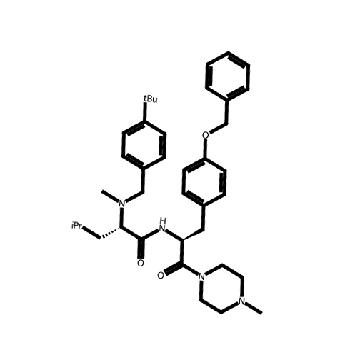 CC(C)C[C@@H](C(=O)N[C@@H](Cc1ccc(OCc2ccccc2)cc1)C(=O)N1CCN(C)CC1)N(C)Cc1ccc(C(C)(C)C)cc1